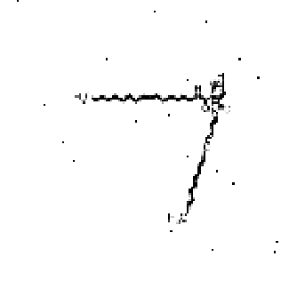 CCCCCCCCCCCCCCCCNC(=O)[C@@H]1CNC[C@H]1C(=O)NCCCCCCCCCCCCCCCC.Cl